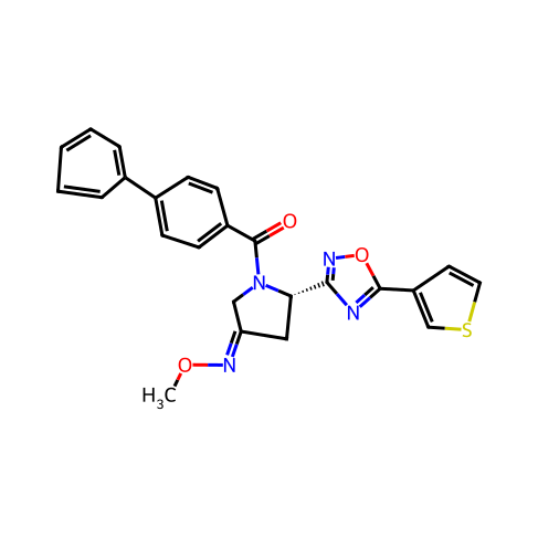 CON=C1C[C@@H](c2noc(-c3ccsc3)n2)N(C(=O)c2ccc(-c3ccccc3)cc2)C1